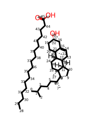 CC(C)CCC[C@@H](C)[C@H]1CC[C@H]2[C@@H]3CC=C4C[C@@H](O)CC[C@]4(C)[C@H]3CC[C@]12C.CCCCCCCCCCCCCCCCCC(=O)O